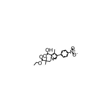 CCOC(=O)C(C)(C)Cn1cc(-c2ccc([N+](=O)[O-])cc2)c(C)c1C(=O)O